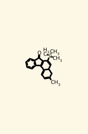 CC1=CC=C2C3=C(C(=O)c4ccccc43)C([Si](C)(C)C)=CC2C1